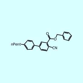 CCCCCc1ccc(-c2ccc(C#N)c(C(=O)OCc3ccccc3)c2)cc1